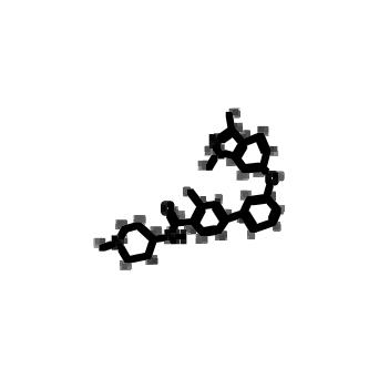 Cc1cc(-c2cccc(Oc3ccc4c(C)nn(C)c4c3)c2)ccc1C(=O)NC1CCN(C)CC1